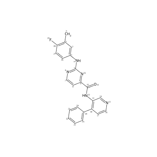 Cc1cc(Nc2nccc(C(=O)Nc3cnccc3-c3ccccc3)n2)ccc1F